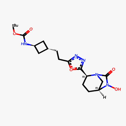 CC(C)(C)OC(=O)N[C@H]1C[C@H](CCc2nnc([C@@H]3CC[C@H]4CN3C(=O)N4O)o2)C1